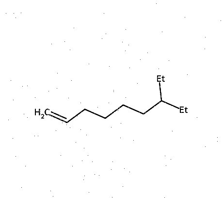 C=CCCCCC(CC)CC